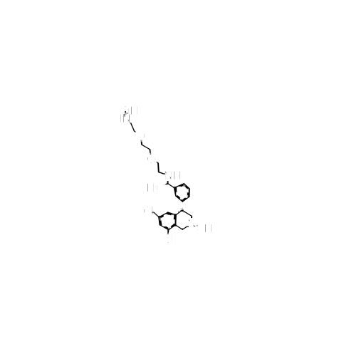 CN1Cc2c(Cl)cc(Cl)cc2[C@H](c2cccc(C(O)NCCOCCOCCNO)c2)C1